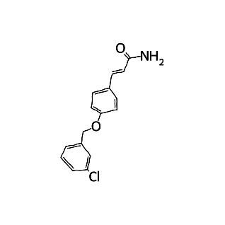 NC(=O)C=Cc1ccc(OCc2cccc(Cl)c2)cc1